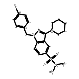 CCCN(CCC)S(=O)(=O)c1ccc2c(c1)c(N1CCCCC1)nn2Cc1ccc(F)cc1